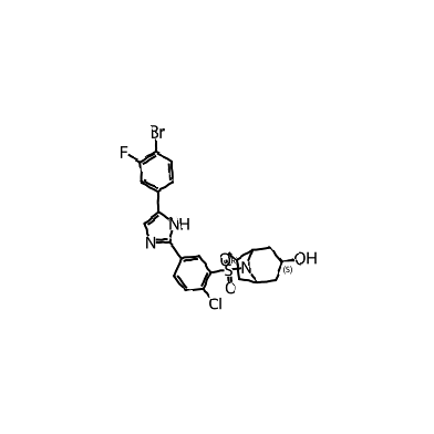 C[C@@H]1CC2C[C@H](O)CC1N2S(=O)(=O)c1cc(-c2ncc(-c3ccc(Br)c(F)c3)[nH]2)ccc1Cl